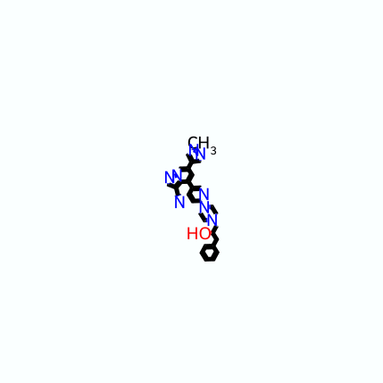 Cn1cc(-c2cc(-c3ccc(N4CCN(CC(O)Cc5ccccc5)CC4)nc3)c3c(C#N)cnn3c2)cn1